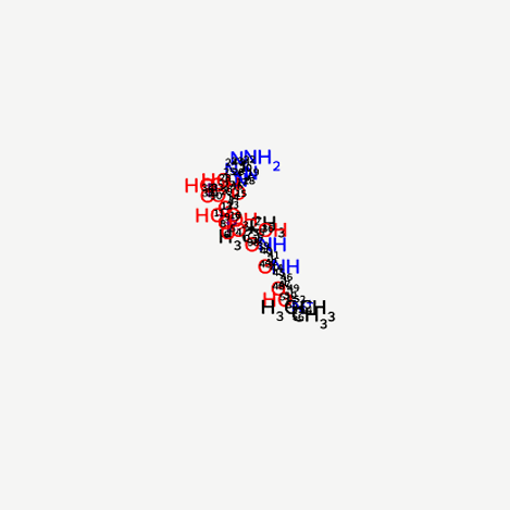 CC(C)(COP(=O)(O)OP(=O)(O)OCC1OC(n2cnc3c(N)ncnc32)C(O)C1OP(=O)(O)O)C(O)C(=O)NCCC(=O)NCCC(=O)CC(O)C[N+](C)(C)C